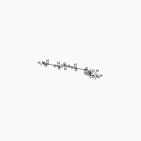 NOCC(=O)NCCCCCCOCCNC(=O)c1ccc(C(=O)NCCOCCOCCNC(=O)CCCCCCCNC(=O)CC[C@H](NC(=O)N[C@@H](CCC(=O)O)C(=O)O)C(=O)O)cc1